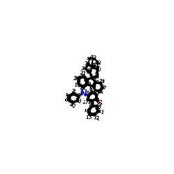 c1ccc(N(c2ccc3sc4ccccc4c3c2)c2cccc3c2-c2ccccc2C32C3CC4CC5CC2C5(C4)C3)cc1